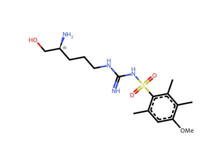 COc1cc(C)c(S(=O)(=O)NC(=N)NCCC[C@H](N)CO)c(C)c1C